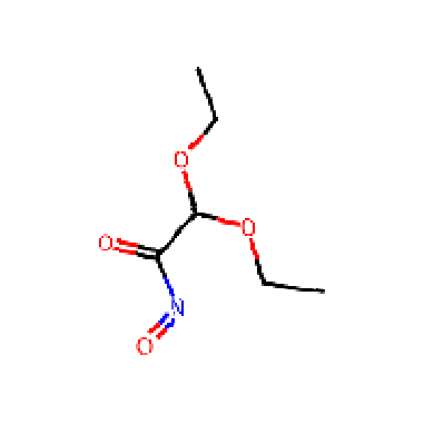 CCOC(OCC)C(=O)N=O